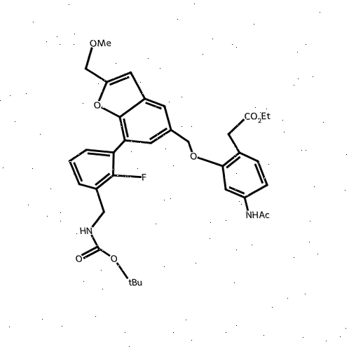 CCOC(=O)Cc1ccc(NC(C)=O)cc1OCc1cc(-c2cccc(CNC(=O)OC(C)(C)C)c2F)c2oc(COC)cc2c1